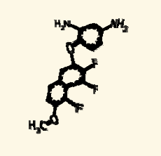 COc1ccc2cc(Oc3ccc(N)cc3N)c(F)c(F)c2c1F